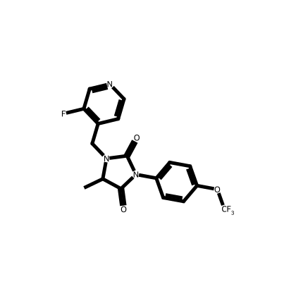 CC1C(=O)N(c2ccc(OC(F)(F)F)cc2)C(=O)N1Cc1ccncc1F